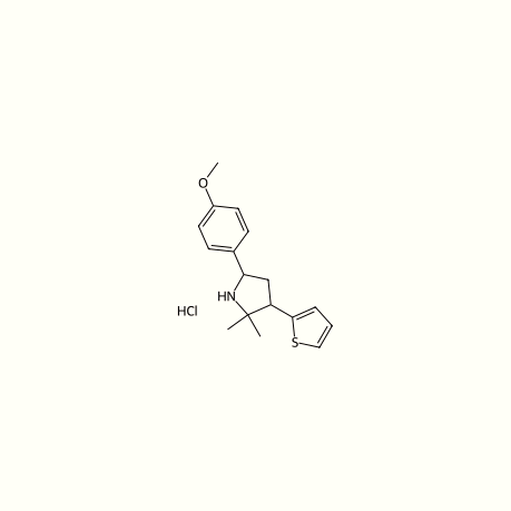 COc1ccc(C2CC(c3cccs3)C(C)(C)N2)cc1.Cl